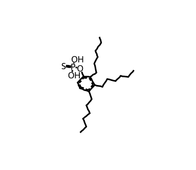 CCCCCCc1ccc(OP(O)(O)=S)c(CCCCCC)c1CCCCCC